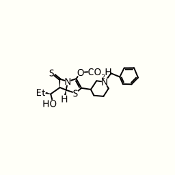 CC[C@H](O)[C@H]1C(=S)N2C(OC(=O)O)=C(C3CCCN(Cc4ccccc4)C3)S[C@H]12